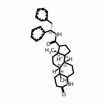 C[C@]12CCC(=O)NC1CC[C@@H]1[C@H]2CC[C@]2(C)C(C(=O)N[C@@H](Cc3ccccc3)c3ccccc3)CC[C@@H]12